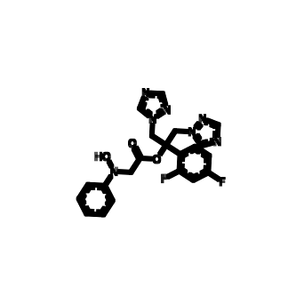 O=C(CN(O)c1ccccc1)OC(Cn1cncn1)(Cn1cncn1)c1ccc(F)cc1F